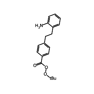 CC(C)(C)OOC(=O)c1ccc(CCc2ccccc2N)cc1